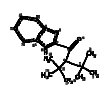 CC(C)(C)C(C(=O)c1nc2ccccc2[nH]1)C(C)(C)C